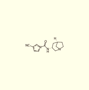 N#Cc1ccn(C(=O)N[C@@H]2C[C@H]3CCN(C3)C2)c1